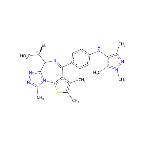 CC[C@H](C(=O)O)C1N=C(c2ccc(Nc3c(C)nn(C)c3C)cc2)c2c(sc(C)c2C)-n2c(C)nnc21